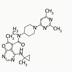 Cc1cc(N2CCC(N(C)C(=O)c3c(C)oc4ncnc(NC5(C)CC5)c34)CC2)nc(C)n1